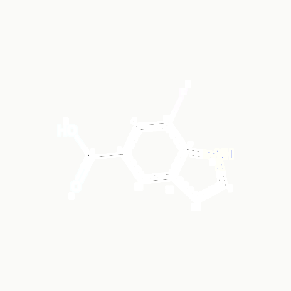 O=C(O)c1cc(F)c2[nH]ccc2c1